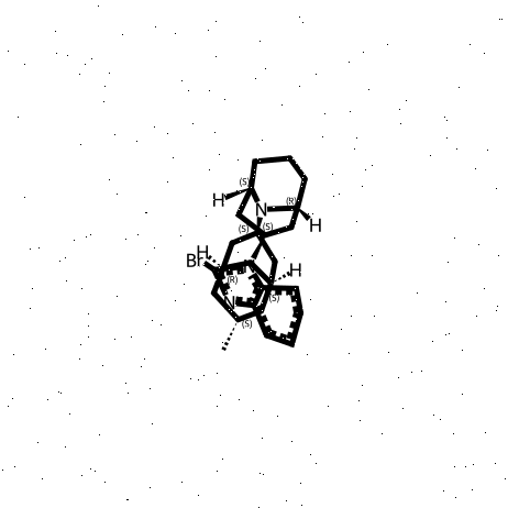 C[C@@H]1C[C@@H]2C[C@H](C1)C[C@H](N1[C@@H]3CCC[C@H]1C[C@H](n1c(Br)nc4ccccc41)C3)C2